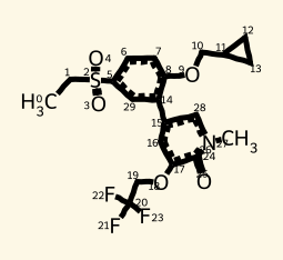 CCS(=O)(=O)c1ccc(OCC2CC2)c(-c2cc(OCC(F)(F)F)c(=O)n(C)c2)c1